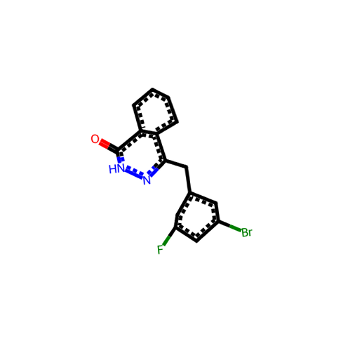 O=c1[nH]nc(Cc2cc(F)cc(Br)c2)c2ccccc12